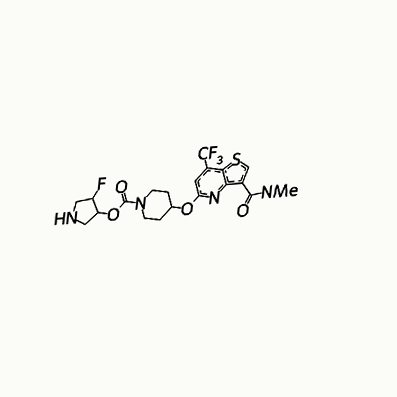 CNC(=O)c1csc2c(C(F)(F)F)cc(OC3CCN(C(=O)OC4CNCC4F)CC3)nc12